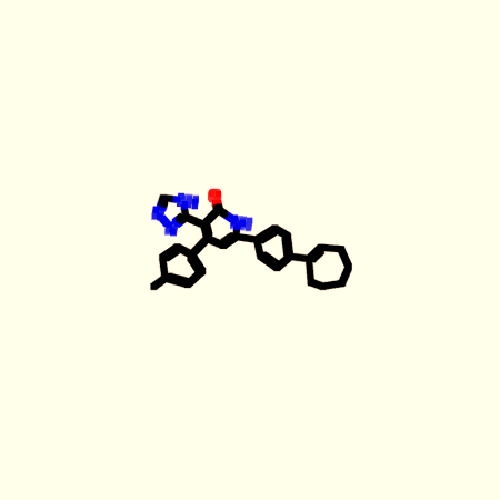 Cc1ccc(-c2cc(-c3ccc(C4=CCCCCC4)cc3)[nH]c(=O)c2-c2nnc[nH]2)cc1